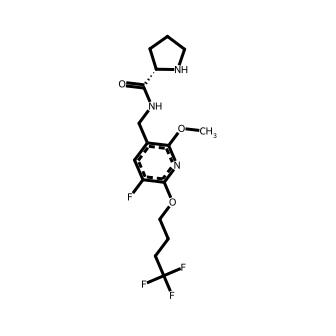 COc1nc(OCCCC(F)(F)F)c(F)cc1CNC(=O)[C@@H]1CCCN1